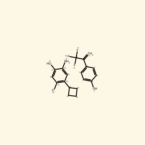 C=C(c1ccc(O)cc1)C(F)(F)F.Nc1cc(C2CCC2)c(Cl)cc1O